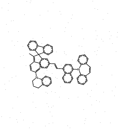 C/C=C(\C=C/C1=C(C)C2(c3cc(/C=C/c4ccc(N5c6ccccc6C=Cc6ccccc65)c5ccccc45)ccc31)c1ccccc1-c1ccccc12)N1CCCc2ccccc21